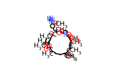 COC1CC(C[C@@H](C)[C@@H]2CC(=O)[C@H](C)/C=C(\C)[C@H]3OC(C[C@H](C)/C=C/C=C/C=C(\C)[C@@H](OC)C[C@@H](C)CCC(C)C(C)(O)C(=O)C(=O)N4CCCCC4C(=O)O2)C(=O)C3OC)CCC1n1cnnn1